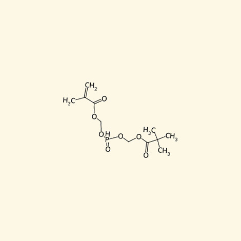 C=C(C)C(=O)OCO[PH](=O)OCOC(=O)C(C)(C)C